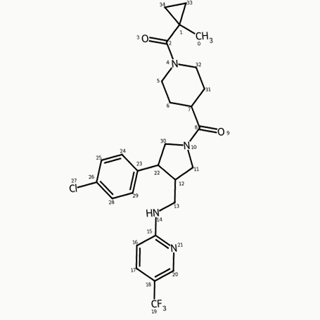 CC1(C(=O)N2CCC(C(=O)N3CC(CNc4ccc(C(F)(F)F)cn4)C(c4ccc(Cl)cc4)C3)CC2)CC1